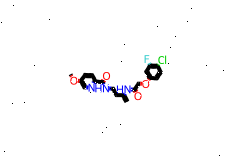 C=C(CCNC(=O)c1ccc(OC)cn1)NC(=O)COc1ccc(Cl)c(F)c1